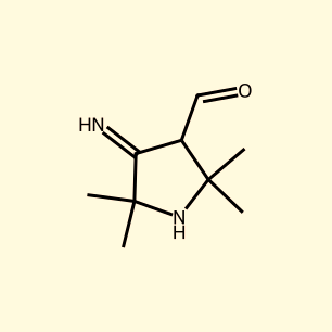 CC1(C)NC(C)(C)C(C=O)C1=N